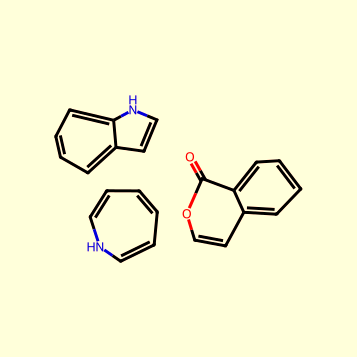 C1=CC=CNC=C1.O=c1occc2ccccc12.c1ccc2[nH]ccc2c1